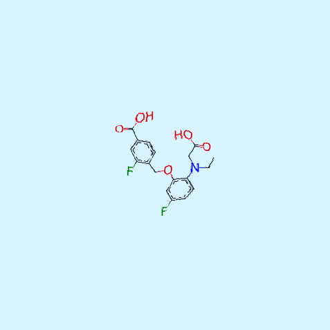 CCN(CC(=O)O)c1ccc(F)cc1OCc1ccc(C(=O)O)cc1F